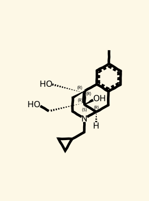 Cc1ccc2c(c1)[C@]13CCN(CC4CC4)[C@H](C2)[C@]1(O)C[C@H](CO)[C@H](O)C3